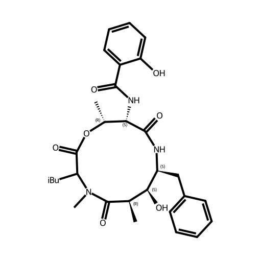 CCC(C)C1C(=O)O[C@H](C)[C@H](NC(=O)c2ccccc2O)C(=O)N[C@@H](Cc2ccccc2)[C@@H](O)[C@@H](C)C(=O)N1C